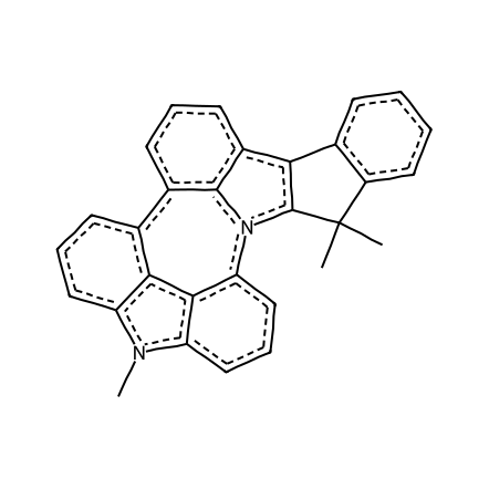 Cn1c2cccc3c4cccc5c6c(n(c7cccc1c7c32)c54)C(C)(C)c1ccccc1-6